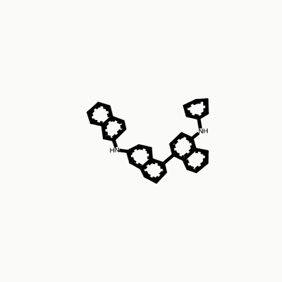 c1ccc(Nc2ccc(-c3cccc4cc(Nc5ccc6ccccc6c5)ccc34)c3ccccc23)cc1